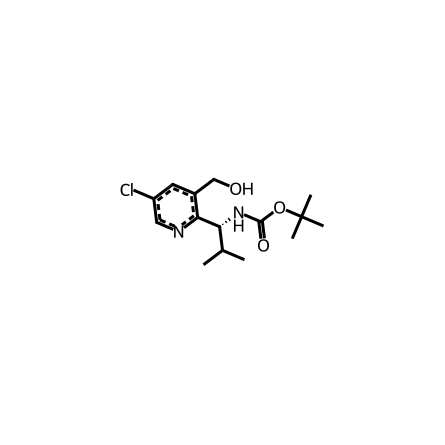 CC(C)[C@@H](NC(=O)OC(C)(C)C)c1ncc(Cl)cc1CO